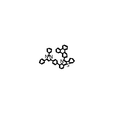 c1ccc(-c2cc(-c3ccc(-c4cccc5c4nc(-c4ccc6c7ccccc7c7ccccc7c6c4)c4c6ccccc6sc54)cc3)nc(-c3ccccc3)n2)cc1